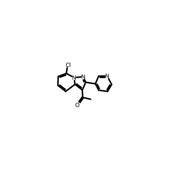 CC(=O)c1c(-c2cccnc2)nn2c(Cl)cccc12